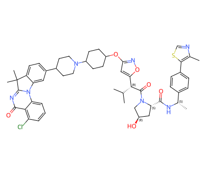 Cc1ncsc1-c1ccc([C@H](C)NC(=O)[C@@H]2C[C@@H](O)CN2C(=O)[C@@H](c2cc(OC3CCC(N4CCC(c5ccc6c(c5)-n5c(nc(=O)c7c(Cl)cccc75)C6(C)C)CC4)CC3)no2)C(C)C)cc1